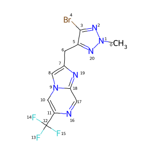 Cn1nc(Br)c(Cc2cn3cc(C(F)(F)F)ncc3n2)n1